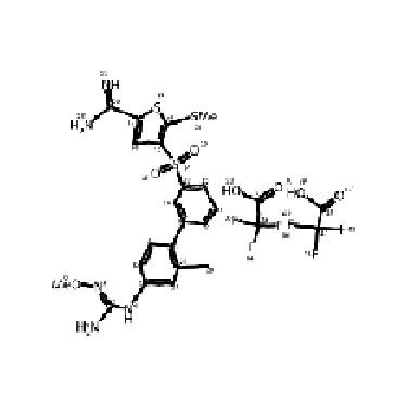 CON=C(N)Nc1ccc(-c2cccc(S(=O)(=O)c3cc(C(=N)N)sc3SC)c2)c(C)c1.O=C(O)C(F)(F)F.O=C(O)C(F)(F)F